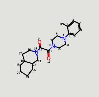 Cc1ccccc1N1CCN(C(=O)C(=O)N2CCC3CCCCC3C2)CC1